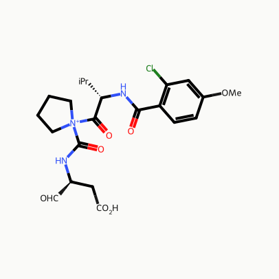 COc1ccc(C(=O)N[C@H](C(=O)[N+]2(C(=O)N[C@H](C=O)CC(=O)O)CCCC2)C(C)C)c(Cl)c1